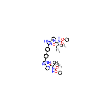 CC(C)[C@H](NC(=O)OC1CCCC1)C(=O)N1CC=CC1c1ncc(-c2ccc(-c3ccc(-c4c[nH]c([C@@H]5C=CCN5C(=O)[C@@H](NC(=O)OC5CCCC5)C(C)C)n4)cc3)cc2)[nH]1